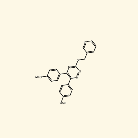 COc1ccc(-c2nnc(SCc3cccnc3)nc2-c2ccc(OC)cc2)cc1